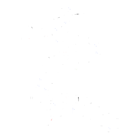 CO[C@@H](C)COc1nc(N2C[C@@H]3C[C@H]2CN3)c2cc(Cl)c(-c3c(C)c(F)cc4n[nH]cc34)c(OCc3ccc(-c4cn([C@H](C(=O)N5C[C@H](O)C[C@H]5C(=O)N[C@@H](CO)c5ccc(-c6cccnc6)cc5)C(C)C)nn4)cc3)c2n1